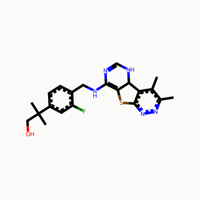 Cc1nnc2c(c1C)C1NC=NC(NCc3ccc(C(C)(C)CO)cc3F)=C1S2